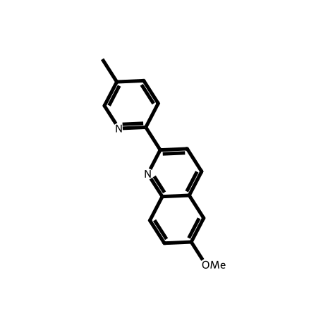 COc1ccc2nc(-c3ccc(C)cn3)ccc2c1